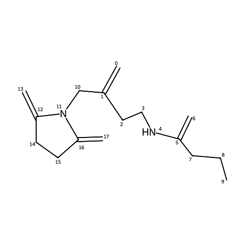 C=C(CCNC(=C)CCC)CN1C(=C)CCC1=C